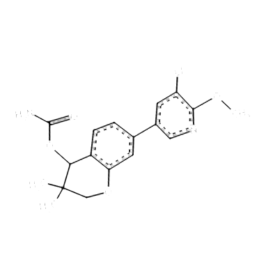 COc1ncc(-c2ccc3c(c2)OCC(C)(C)C3OC(N)=O)cc1Cl